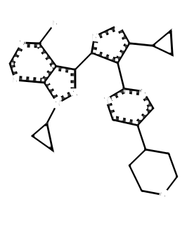 Nc1ncnc2c1c(-c1noc(C3CC3)c1-c1ncc(C3CCNCC3)cn1)nn2C1CC1